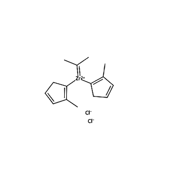 CC1=[C]([Zr+2]([C]2=C(C)C=CC2)=[C](C)C)CC=C1.[Cl-].[Cl-]